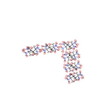 O=[N+]([O-])C1([N+](=O)[O-])CO[C@@H]2[C@H]1OCC2([N+](=O)[O-])[N+](=O)[O-].O=[N+]([O-])C1([N+](=O)[O-])CO[C@@H]2[C@H]1OCC2([N+](=O)[O-])[N+](=O)[O-].O=[N+]([O-])C1([N+](=O)[O-])CO[C@@H]2[C@H]1OCC2([N+](=O)[O-])[N+](=O)[O-].O=[N+]([O-])C1([N+](=O)[O-])CO[C@@H]2[C@H]1OCC2([N+](=O)[O-])[N+](=O)[O-].O=[N+]([O-])C1([N+](=O)[O-])CO[C@@H]2[C@H]1OCC2([N+](=O)[O-])[N+](=O)[O-].O=[N+]([O-])C1([N+](=O)[O-])CO[C@@H]2[C@H]1OCC2([N+](=O)[O-])[N+](=O)[O-]